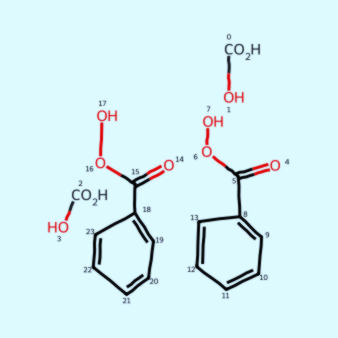 O=C(O)O.O=C(O)O.O=C(OO)c1ccccc1.O=C(OO)c1ccccc1